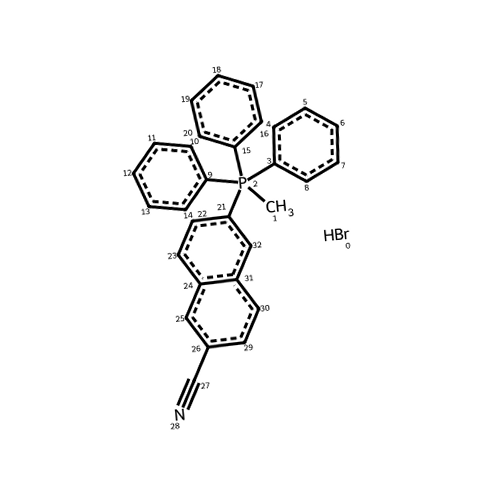 Br.CP(c1ccccc1)(c1ccccc1)(c1ccccc1)c1ccc2cc(C#N)ccc2c1